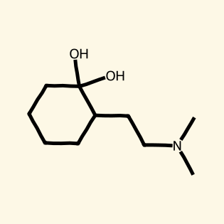 CN(C)CCC1CCCCC1(O)O